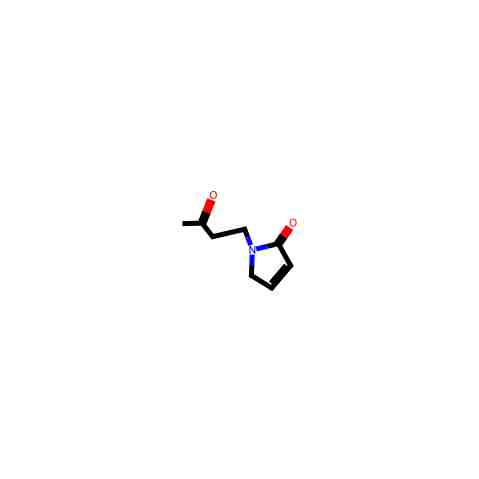 CC(=O)CCN1CC=CC1=O